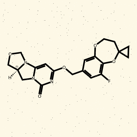 O=c1nc(OCc2cc(F)c3c(c2)OCCC2(CC2)O3)cc2n1C[C@H]1COCN21